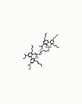 CCCCc1cc(CCCC)c2op(O[C@H](C)C[C@@H](C)Op3oc4c(CCCC)cc(C(C)CC)cc4c4cc(C(C)CC)cc(CCCC)c4o3)oc3c(C(C)CC)cc(CCCC)cc3c2c1